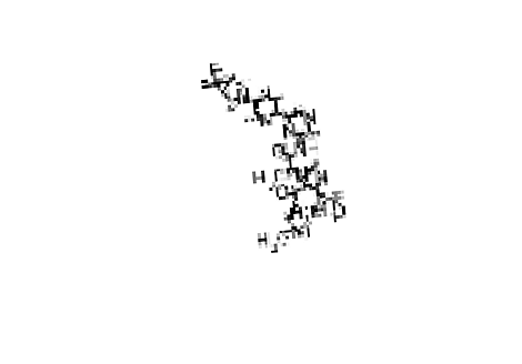 CC(=O)CN(C)C(=O)c1c(N(C)C=O)ncn1C(C)C(=O)Nc1cncc(-c2cnc(N3CC4C(C3)C4(F)F)cn2)n1